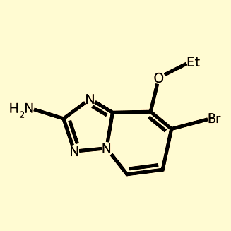 CCOc1c(Br)ccn2nc(N)nc12